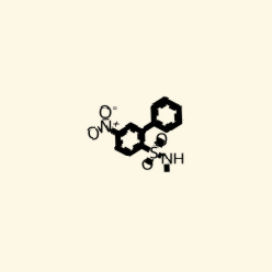 CNS(=O)(=O)c1ccc([N+](=O)[O-])cc1-c1ccccc1